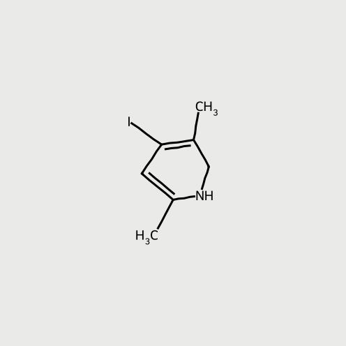 CC1=CC(I)=C(C)CN1